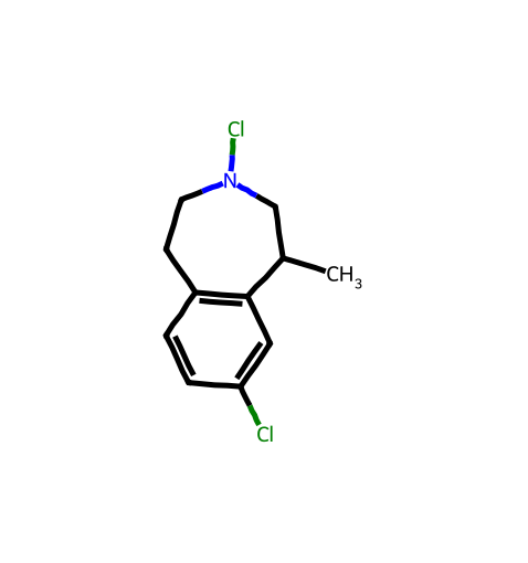 CC1CN(Cl)CCc2ccc(Cl)cc21